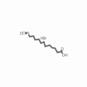 Br.O=C=NCCCCCCCCCCCC(=O)O